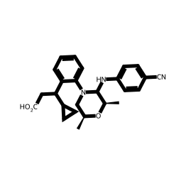 C[C@H]1CN(c2ccccc2C(CC(=O)O)C2CC2)C(Nc2ccc(C#N)cc2)[C@@H](C)O1